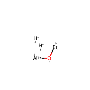 CC[O][Al+2].[H-].[H-]